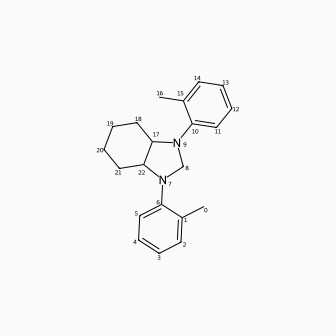 Cc1ccccc1N1CN(c2ccccc2C)C2CCCCC21